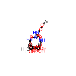 CC(=O)CCOCCOCCNC(=O)CN1CC(=O)NCCO[C@@H]2O[C@@H](O[C@@H]3[C@H](OCCNC(=O)C1)O[C@@H](C)[C@@H](O)[C@H]3O)[C@@H](O)[C@@H](O)[C@@H]2O